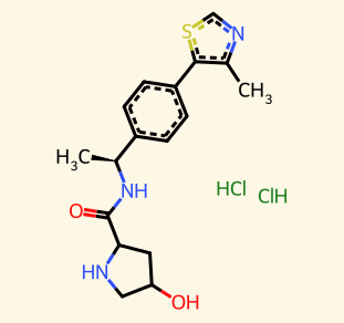 Cc1ncsc1-c1ccc([C@H](C)NC(=O)C2CC(O)CN2)cc1.Cl.Cl